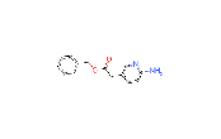 Nc1ccc(CC(=O)OCc2ccccc2)cn1